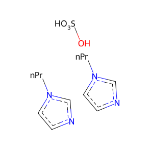 CCCn1ccnc1.CCCn1ccnc1.O=S(=O)(O)O